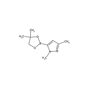 Cc1cc(B2OCC(C)(C)O2)n(C)n1